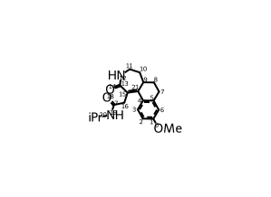 COc1ccc2c(c1)CCC1CCNC(=O)C(CC(=O)NC(C)C)=C21